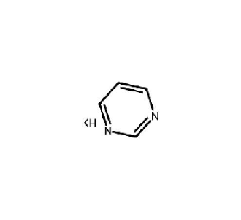 [KH].c1cncnc1